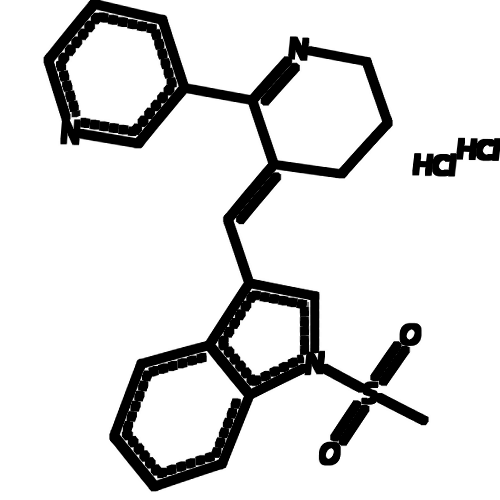 CS(=O)(=O)n1cc(C=C2CCCN=C2c2cccnc2)c2ccccc21.Cl.Cl